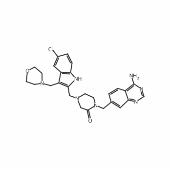 Nc1ncnc2cc(CN3CCN(Cc4[nH]c5ccc(Cl)cc5c4CN4CCOCC4)CC3=O)ccc12